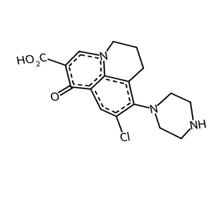 O=C(O)c1cn2c3c(c(N4CCNCC4)c(Cl)cc3c1=O)CCC2